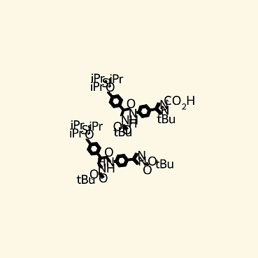 CC(C)[Si](OCc1ccc(C(CNC(=O)OC(C)(C)C)C(=O)Nc2ccc(-c3cn(C(=O)O)nc3C(C)(C)C)cc2)cc1)(C(C)C)C(C)C.CC(C)[Si](OCc1ccc(C(CNC(=O)OC(C)(C)C)C(=O)Nc2ccc(-c3cnn(C(=O)OC(C)(C)C)c3)cc2)cc1)(C(C)C)C(C)C